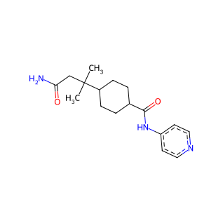 CC(C)(CC(N)=O)C1CCC(C(=O)Nc2ccncc2)CC1